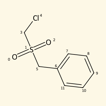 O=S(=O)(CCl)Cc1ccccc1